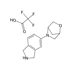 O=C(O)C(F)(F)F.c1cc2c(cc1N1CC3CC1CO3)CNC2